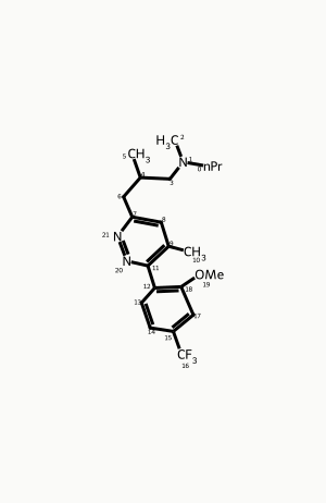 CCCN(C)CC(C)Cc1cc(C)c(-c2ccc(C(F)(F)F)cc2OC)nn1